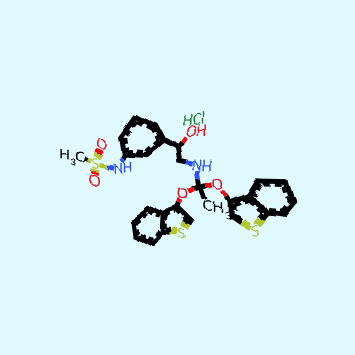 CC(NCC(O)c1cccc(NS(C)(=O)=O)c1)(Oc1csc2ccccc12)Oc1csc2ccccc12.Cl